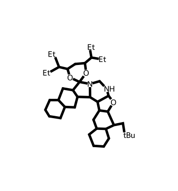 CCC(CC)C1CC(C(CC)CC)OC2(O1)C1CC3CCCCC3CC1C1C3C(NCN12)OC1C(CC(C)(C)C)C2CCCCC2CC13